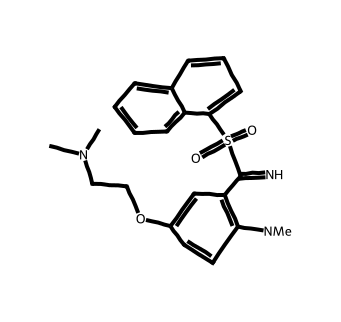 CNc1ccc(OCCN(C)C)cc1C(=N)S(=O)(=O)c1cccc2ccccc12